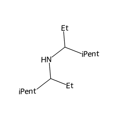 CCCC(C)C(CC)NC(CC)C(C)CCC